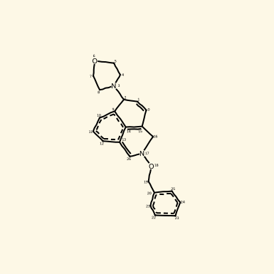 C1=CC(N2CCOCC2)c2cccc3c2=C1CN(OCc1ccccc1)C=3